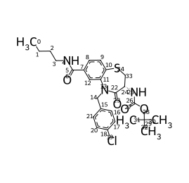 CCCCNC(=O)c1ccc2c(c1)N(Cc1ccc(Cl)cc1)C(=O)[C@@H](NC(=O)OC(C)(C)C)CS2